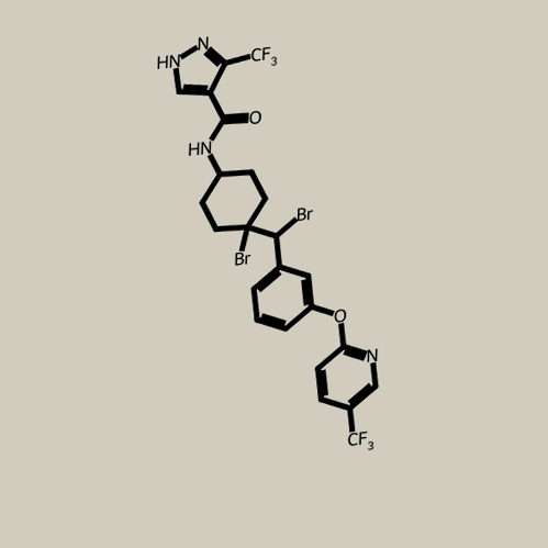 O=C(NC1CCC(Br)(C(Br)c2cccc(Oc3ccc(C(F)(F)F)cn3)c2)CC1)c1c[nH]nc1C(F)(F)F